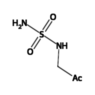 CC(=O)CNS(N)(=O)=O